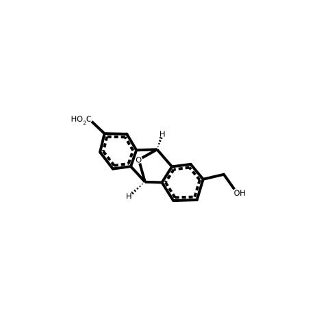 O=C(O)c1ccc2c(c1)[C@@H]1O[C@H]2c2ccc(CO)cc21